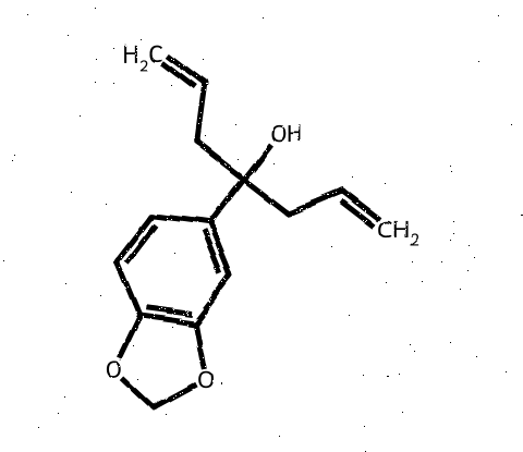 C=CCC(O)(CC=C)c1ccc2c(c1)OCO2